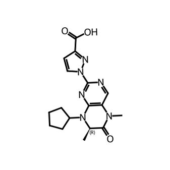 C[C@@H]1C(=O)N(C)c2cnc(-n3ccc(C(=O)O)n3)nc2N1C1CCCC1